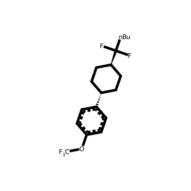 CCCCC(F)(F)[C@H]1CC[C@H](c2ccc(OC(F)(F)F)cc2)CC1